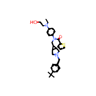 CCN(CCO)c1ccc(N(CC2C3CN(Cc4ccc(C(C)(C)C)cc4)CC32)C(=O)c2cccs2)cc1